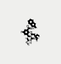 C=C1Cc2ccccc2[C@H]1NC(=O)c1cc(F)cc([C@@H](CCOC)N2C(=N)NC(CC)(CC)CC2=O)c1